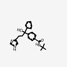 CC(C)(C)NC(=O)c1ccc(C(O)(CCc2c[nH]cn2)c2ccccc2)cc1